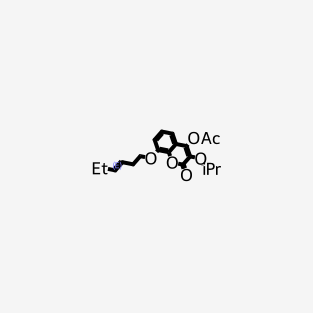 CC/C=C/CCOc1cccc2c(OC(C)=O)c(OC(C)C)c(=O)oc12